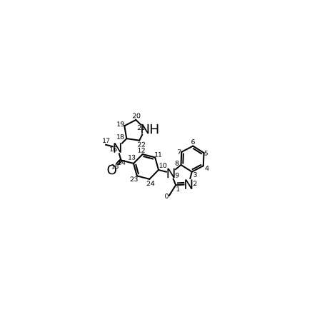 Cc1nc2ccccc2n1C1C=CC(C(=O)N(C)C2CCNC2)=CC1